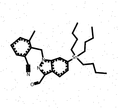 CCC[CH2][Sn]([CH2]CCC)([CH2]CCC)[c]1ccc2c(C=O)nn(Cc3c(C)cccc3C#N)c2c1